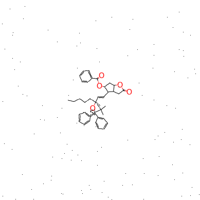 CCCCCC(C)(C=CC1C(OC(=O)c2ccccc2)CC2OC(=O)CC21)O[Si](c1ccccc1)(c1ccccc1)C(C)(C)C